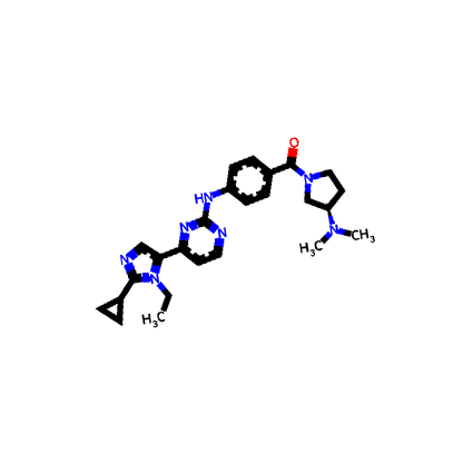 CCn1c(-c2ccnc(Nc3ccc(C(=O)N4CC[C@@H](N(C)C)C4)cc3)n2)cnc1C1CC1